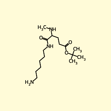 CNC(CCC(=O)OC(C)(C)C)C(=O)NCCCCCCN